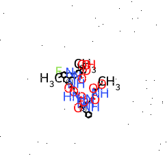 CC[C@@]1(O)C(=O)OCc2c1cc1n(c2=O)Cc2c-1nc1cc(F)c(C)c3c1c2[C@@H](NC(=O)COCNC(=O)CNC(=O)[C@H](Cc1ccccc1)NC(=O)CNC(=O)CNC(=O)CCOC)CC3